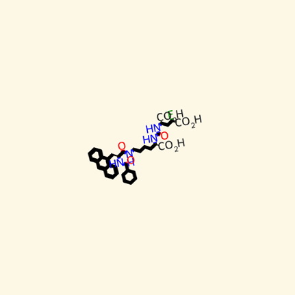 O=C(N[C@@H](CCCCNC(=O)[C@H](Cc1c2ccccc2cc2ccccc12)NC(=O)C1CCCCC1)C(=O)O)N[C@@H](C[C@@H](F)C(=O)O)C(=O)O